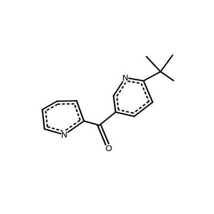 CC(C)(C)c1ccc(C(=O)c2ccccn2)cn1